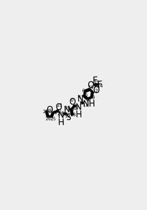 O=C(Nc1nc2cc3c(cc2[nH]1)OC(F)(F)O3)c1csc(NC(=O)c2ccco2)n1